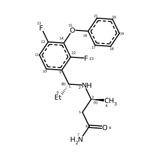 CC[C@@H](N[C@@H](C)CC(N)=O)c1ccc(F)c(Oc2ccccc2)c1F